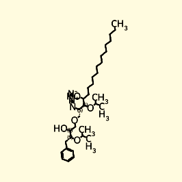 CCCCCCCCCCCCCCC(O)[C@@H](OC(C)C)[C@H](COC[C@H](O)[C@H](Cc1ccccc1)OC(C)C)N=[N+]=[N-]